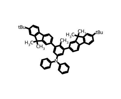 Cc1c(-c2ccc3c(c2)C(C)(C)c2cc(C(C)(C)C)ccc2-3)cc(N(c2ccccc2)c2ccccc2)cc1-c1ccc2c(c1)C(C)(C)c1cc(C(C)(C)C)ccc1-2